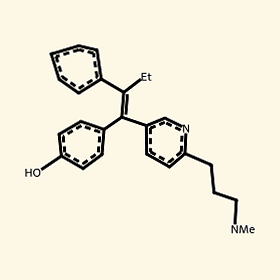 CC/C(=C(/c1ccc(O)cc1)c1ccc(CCCNC)nc1)c1ccccc1